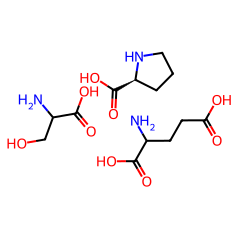 NC(CCC(=O)O)C(=O)O.NC(CO)C(=O)O.O=C(O)[C@@H]1CCCN1